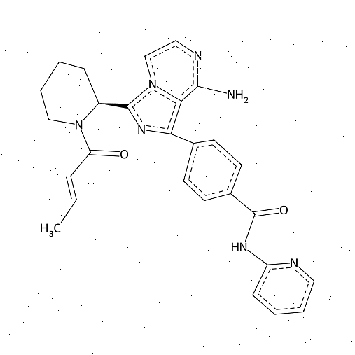 CC=CC(=O)N1CCCC[C@H]1c1nc(-c2ccc(C(=O)Nc3ccccn3)cc2)c2c(N)nccn12